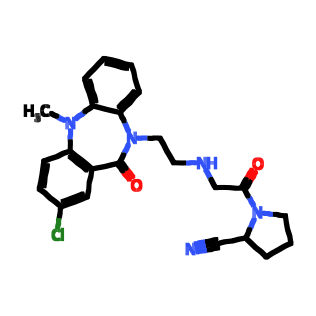 CN1c2ccc(Cl)cc2C(=O)N(CCNCC(=O)N2CCCC2C#N)c2ccccc21